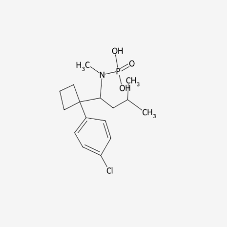 CC(C)CC(N(C)P(=O)(O)O)C1(c2ccc(Cl)cc2)CCC1